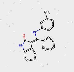 O=C1Nc2ccccc2C1=C(Nc1cccc([N+](=O)[O-])c1)c1ccccc1